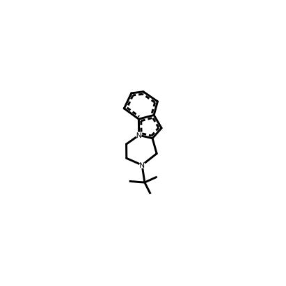 CC(C)(C)N1CCn2c(cc3ccccc32)C1